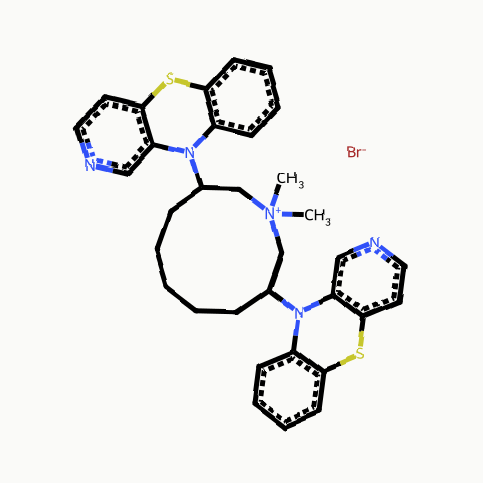 C[N+]1(C)CC(N2c3ccccc3Sc3ccncc32)CCCCCC(N2c3ccccc3Sc3ccncc32)C1.[Br-]